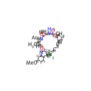 COc1ccc2c(C(F)(F)F)c3c(nc2c1)O[C@H]1CN(C(=O)[C@H](C(C)(C)C)NC(=O)O[C@]2(C)CCC[C@H]2CCCCC3(F)F)[C@H](C(C)=O)C1C